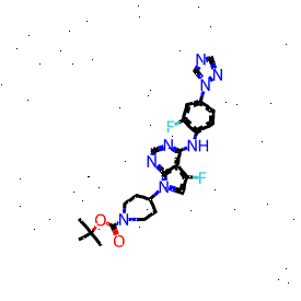 CC(C)(C)OC(=O)N1CCC(n2cc(F)c3c(Nc4ccc(-n5cncn5)cc4F)ncnc32)CC1